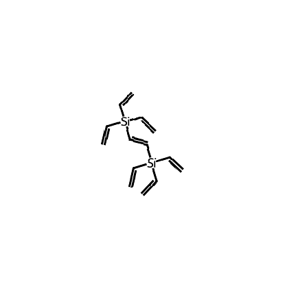 C=C[Si](C=C)(C=C)C=C[Si](C=C)(C=C)C=C